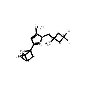 CCOC(=O)c1cc(C23CC(CN2)C3(F)F)nn1CC1(C)CC(F)(F)C1